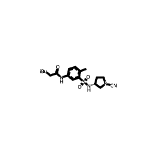 CCC(C)CC(=O)Nc1ccc(C)c(S(=O)(=O)N[C@@H]2CCN(C#N)C2)c1